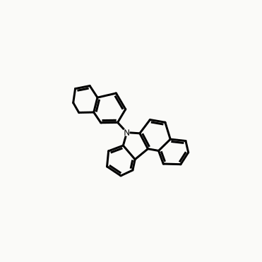 C1=Cc2ccc(-n3c4ccccc4c4c5ccccc5ccc43)cc2CC1